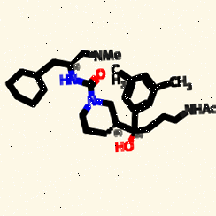 CNC[C@H](CC1CCCCC1)NC(=O)N1CCC[C@@H]([C@@](O)(CCCNC(C)=O)c2cc(C)cc(C)c2)C1